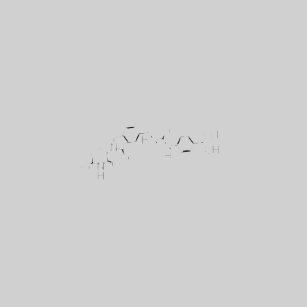 CC(C)c1ccc(NC(=O)NCc2ccc3c(c2)C(=O)N(C2CCC(=O)NC2=O)C3)cc1